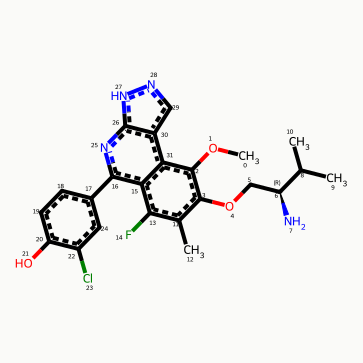 COc1c(OC[C@H](N)C(C)C)c(C)c(F)c2c(-c3ccc(O)c(Cl)c3)nc3[nH]ncc3c12